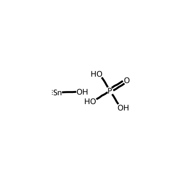 O=P(O)(O)O.[OH][Sn]